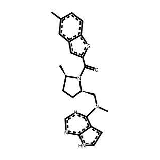 Cc1ccc2sc(C(=O)N3[C@@H](CN(C)c4ncnc5[nH]ccc45)CC[C@H]3C)cc2c1